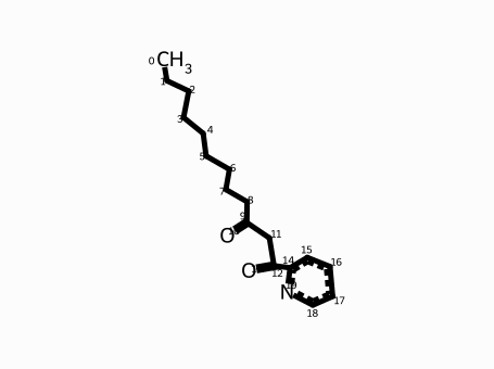 CCCCCCCCCC(=O)CC(=O)c1ccccn1